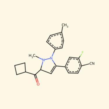 Cc1ccc(N2C(c3ccc(C#N)c(F)c3)=CC(C(=O)C3CCC3)N2C)cc1